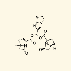 O=C(OC(OC(=O)C1=CS[C@H]2CC(=O)N12)c1cn2c(n1)SCC2)C1=CS[C@H]2CC(=O)N12